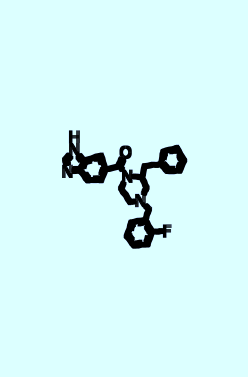 O=C(c1ccc2nc[nH]c2c1)N1CCN(Cc2ccccc2F)CC1Cc1ccccc1